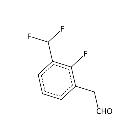 O=CCc1cccc(C(F)F)c1F